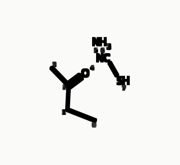 CCC(C)=O.N.N#CS